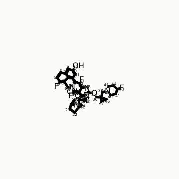 C#Cc1c(F)ccc2cc(O)cc(-c3nc(F)c4c(N5CC6CCC(C5)N6C(=O)C(F)(F)F)nc(OCC5(CN6CCC(F)CC6)CC5)nc4c3F)c12